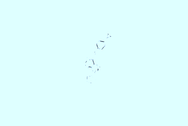 C[C@H]1O[C@@H](n2cnc3c(OCc4ccc(C5CC5)cc4)ncnc32)[C@H](O)[C@@H]1O